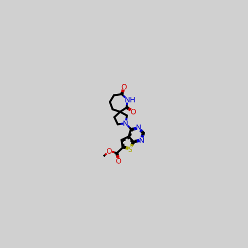 COC(=O)c1cc2c(N3CCC4(CCCC(=O)NC4=O)C3)ncnc2s1